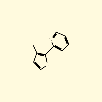 Cc1ccsc1-c1ccccn1